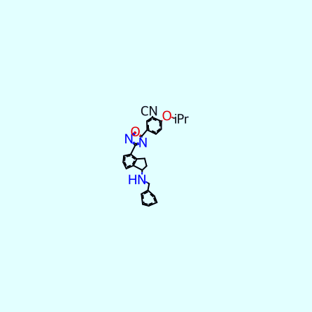 CC(C)Oc1ccc(-c2nc(-c3cccc4c3CCC4NCc3ccccc3)no2)cc1C#N